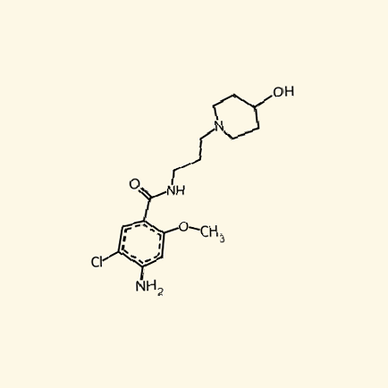 COc1cc(N)c(Cl)cc1C(=O)NCCCN1CCC(O)CC1